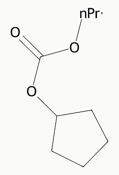 CC[CH]OC(=O)OC1CCCC1